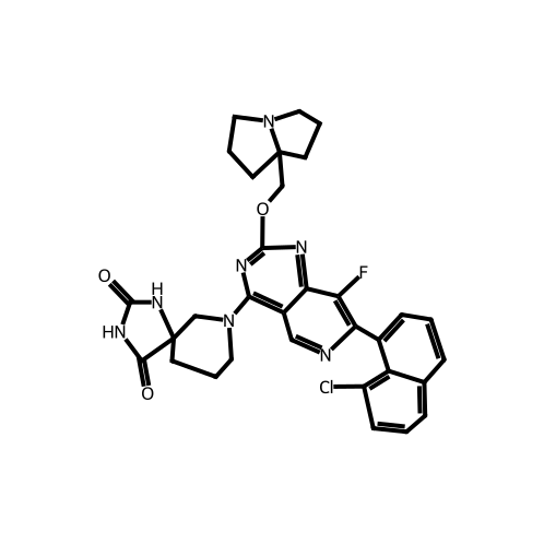 O=C1NC(=O)C2(CCCN(c3nc(OCC45CCCN4CCC5)nc4c(F)c(-c5cccc6cccc(Cl)c56)ncc34)C2)N1